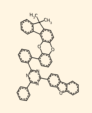 CC1(C)c2ccccc2-c2c1ccc1c2Oc2c(cccc2-c2ccccc2-c2nc(-c3ccccc3)nc(-c3ccc4c(c3)oc3ccccc34)n2)O1